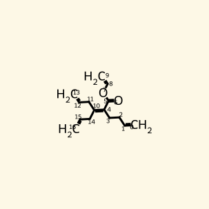 C=CCCC(C(=O)OC=C)=C(CC=C)CC=C